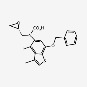 Cc1csc2c(OCc3ccccc3)cc(N(C[C@@H]3CO3)C(=O)O)c(I)c12